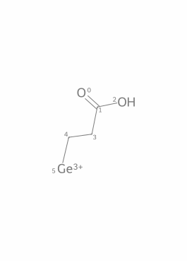 O=C(O)C[CH2][Ge+3]